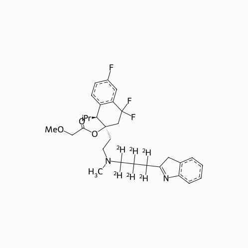 [2H]C([2H])(C1=Nc2ccccc2C1)C([2H])([2H])C([2H])([2H])N(C)CC[C@@]1(OC(=O)COC)CC(F)(F)c2cc(F)ccc2[C@@H]1C(C)C